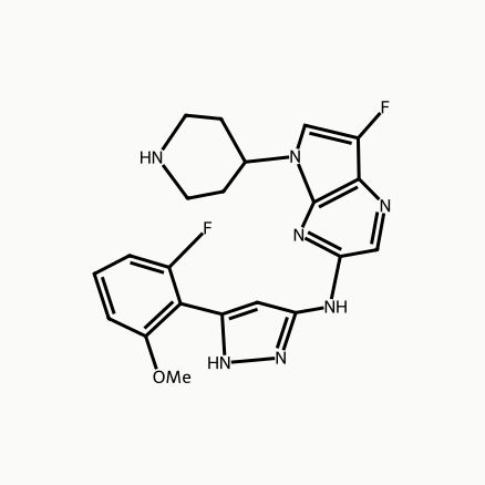 COc1cccc(F)c1-c1cc(Nc2cnc3c(F)cn(C4CCNCC4)c3n2)n[nH]1